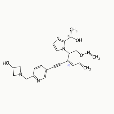 C=C/C=C(/C#Cc1ccc(CN2CC(O)C2)nc1)C(CON=C)n1ccnc1[C@H](C)O